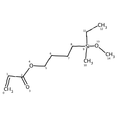 C=CC(=O)OCCCC[Si](C)(CC)OC